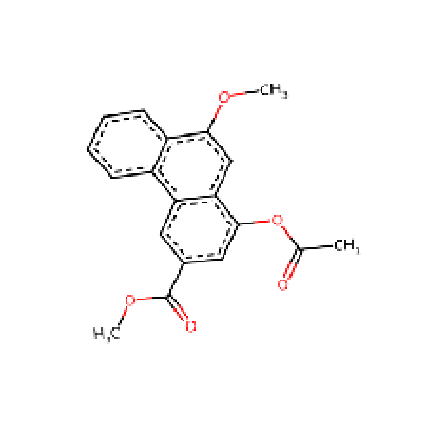 COC(=O)c1cc(OC(C)=O)c2cc(OC)c3ccccc3c2c1